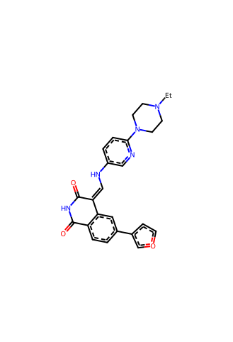 CCN1CCN(c2ccc(NC=C3C(=O)NC(=O)c4ccc(-c5ccoc5)cc43)cn2)CC1